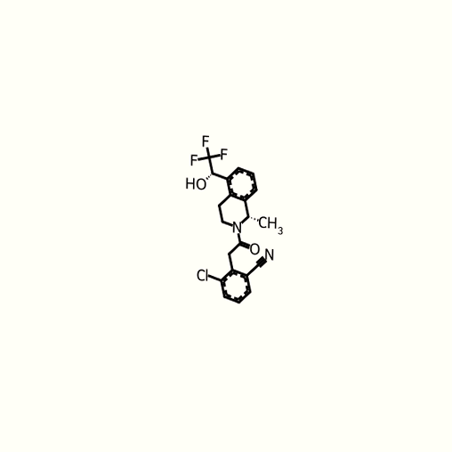 C[C@H]1c2cccc([C@H](O)C(F)(F)F)c2CCN1C(=O)Cc1c(Cl)cccc1C#N